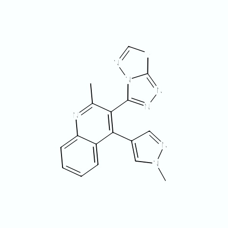 Cc1nc2ccccc2c(-c2cnn(C)c2)c1-c1nnc2scnn12